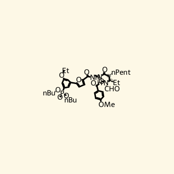 CCCCC[C@@H](C(=O)NCNC(=O)c1ccc(-c2cc(OCC)cc(P(=O)(OCCCC)OCCCC)c2)o1)[C@@H](CC)N(C=O)OC(=O)c1ccc(OC)cc1